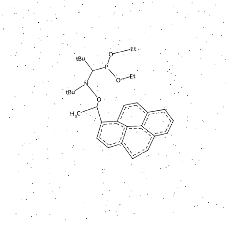 CCOP(OCC)C(N(OC(C)c1ccc2ccc3cccc4ccc1c2c34)C(C)(C)C)C(C)(C)C